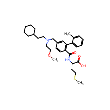 COCCN(CCC1CCCCC1)Cc1ccc(C(=O)N[C@@H](CCSC)C(=O)O)c(-c2ccccc2C)c1